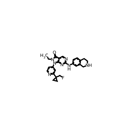 CCn1c(=O)c2cnc(Nc3ccc4c(c3)CNCC4)nc2n1-c1ccnc(C2(CF)CC2)c1